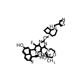 C#Cc1c(F)ccc2cc(O)cc(-c3nc(OC)c4c(N5CCOC[C@@](C)(O)C5)nc(OC[C@]56CCC[C@H]5N(Cc5cnsc5)CCC6)nc4c3F)c12